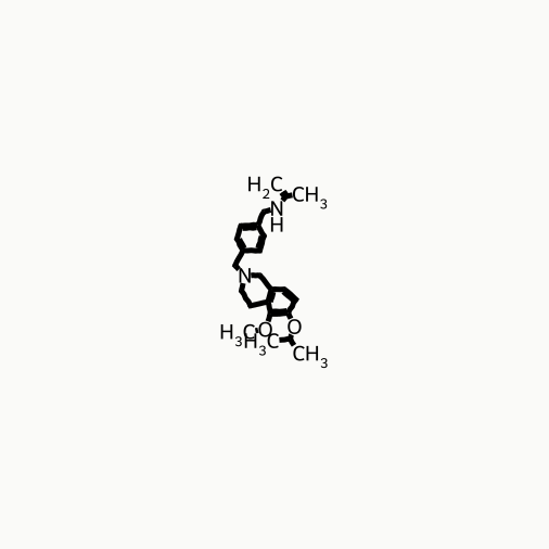 C=C(C)NCc1ccc(CN2CCc3c(ccc(OC(C)C)c3OC)C2)cc1